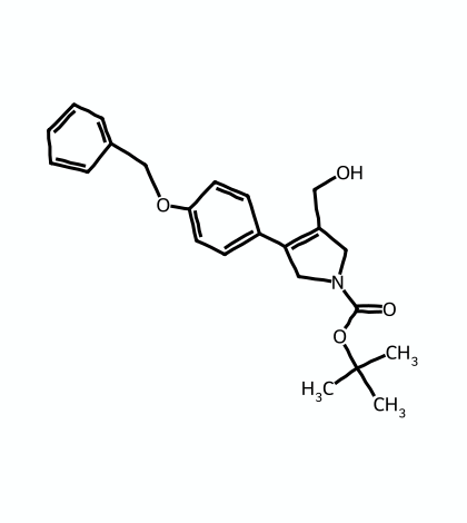 CC(C)(C)OC(=O)N1CC(CO)=C(c2ccc(OCc3ccccc3)cc2)C1